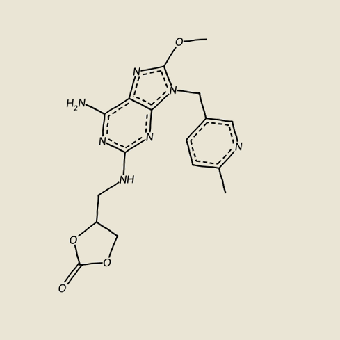 COc1nc2c(N)nc(NCC3COC(=O)O3)nc2n1Cc1ccc(C)nc1